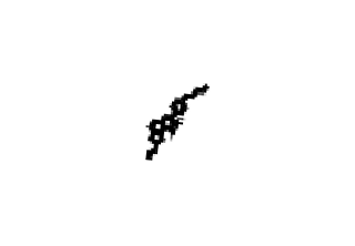 CCCCCc1ccc(-c2cc3ccc4c(c3c(F)c2F)CC(CCC)C4)cc1